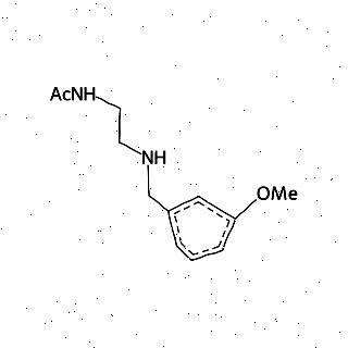 COc1cccc(CNCCNC(C)=O)c1